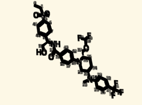 CCS(=O)(=O)c1ccc([C@H](CO)NC(=O)c2ccc(N3C[C@H](N(C)c4ccc(C(F)(F)F)cc4)CC[C@H]3COC(F)F)cc2)cc1